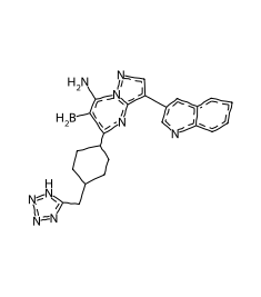 Bc1c(C2CCC(Cc3nnn[nH]3)CC2)nc2c(-c3cnc4ccccc4c3)cnn2c1N